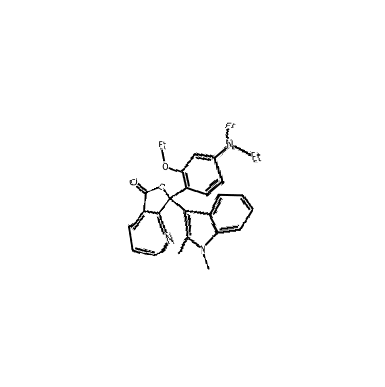 CCOc1cc(N(CC)CC)ccc1C1(c2c(C)n(C)c3ccccc23)OC(=O)c2cccnc21